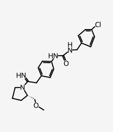 COC[C@@H]1CCCN1C(=N)Cc1ccc(NC(=O)NCc2ccc(Cl)cc2)cc1